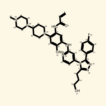 C=CC(=O)Nc1cc(Nc2cc(-n3c(CCCO)nnc3-c3ccc(F)cc3)ccn2)c(OC)cc1N1CCC(N2CCN(C)CC2)CC1